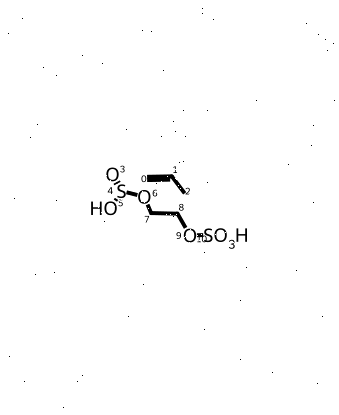 C=CC.O=S(O)OCCOS(=O)(=O)O